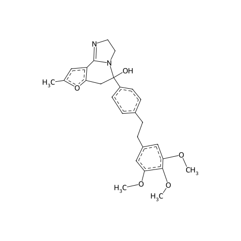 COc1cc(CCc2ccc(C3(O)Cc4oc(C)cc4C4=NCCN43)cc2)cc(OC)c1OC